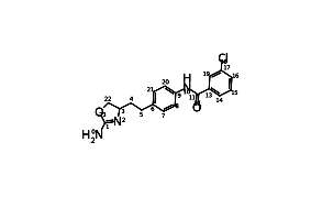 NC1=NC(CCc2ccc(NC(=O)c3cccc(Cl)c3)cc2)CO1